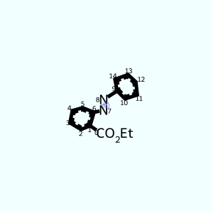 CCOC(=O)c1ccccc1/N=N/c1ccccc1